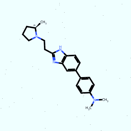 C[C@@H]1CCCN1CCc1nc2cc(-c3ccc(N(C)C)cc3)ccc2[nH]1